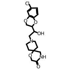 O=C1COC2(CCN(CC(O)C3COc4cc(Cl)ccc4O3)CC2)CN1